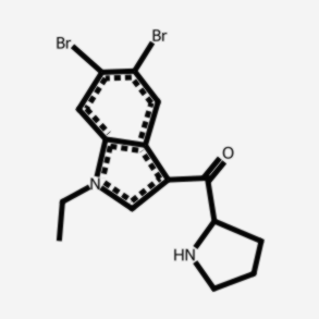 CCn1cc(C(=O)C2CCCN2)c2cc(Br)c(Br)cc21